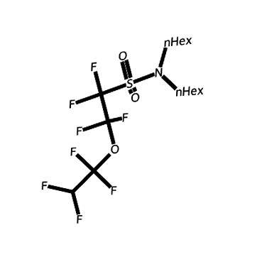 CCCCCCN(CCCCCC)S(=O)(=O)C(F)(F)C(F)(F)OC(F)(F)C(F)F